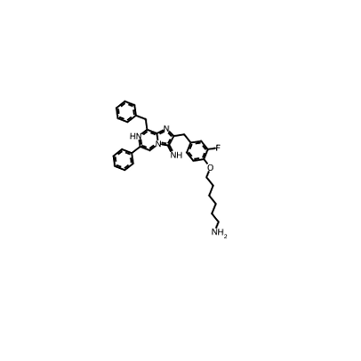 N=c1c(Cc2ccc(OCCCCCCN)c(F)c2)nc2c(Cc3ccccc3)[nH]c(-c3ccccc3)cn1-2